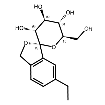 CCc1ccc2c(c1)[C@]1(OC2)O[C@H](CO)[C@@H](O)[C@H](O)[C@H]1O